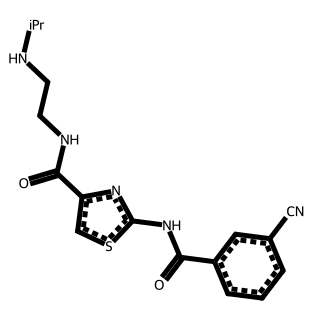 CC(C)NCCNC(=O)c1csc(NC(=O)c2cccc(C#N)c2)n1